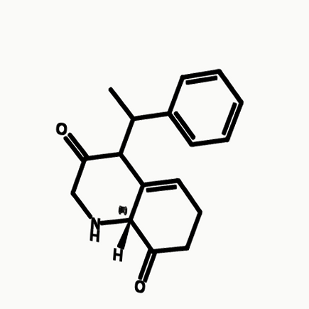 CC(c1ccccc1)C1C(=O)CN[C@H]2C(=O)CCC=C12